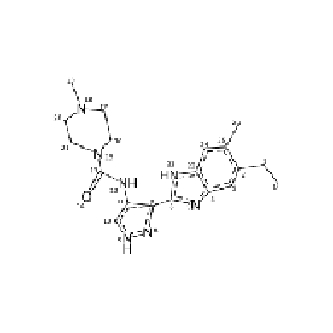 CCc1cc2nc(-c3n[nH]cc3NC(=O)N3CCN(C)CC3)[nH]c2cc1C